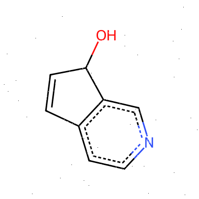 OC1C=Cc2ccncc21